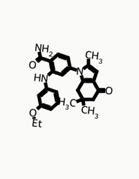 CCOc1cccc(Nc2cc(-n3c(C)cc4c3CC(C)(C)CC4=O)ccc2C(N)=O)c1